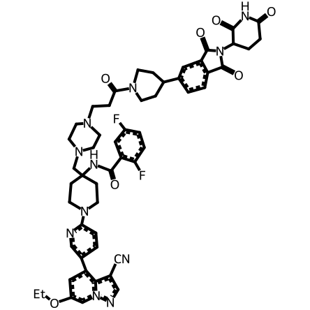 CCOc1cc(-c2ccc(N3CCC(CN4CCN(CCC(=O)N5CCC(c6ccc7c(c6)C(=O)N(C6CCC(=O)NC6=O)C7=O)CC5)CC4)(NC(=O)c4cc(F)ccc4F)CC3)nc2)c2c(C#N)cnn2c1